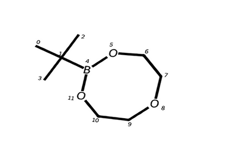 CC(C)(C)B1OCCOCCO1